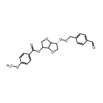 COc1ccc(C(=O)OC2COC3C2OC[C@H]3OOCc2ccc(C=O)cc2)cc1